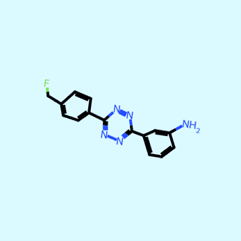 Nc1cccc(-c2nnc(-c3ccc(CF)cc3)nn2)c1